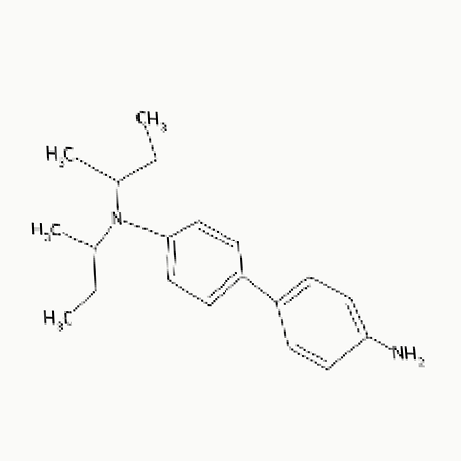 CCC(C)N(c1ccc(-c2ccc(N)cc2)cc1)C(C)CC